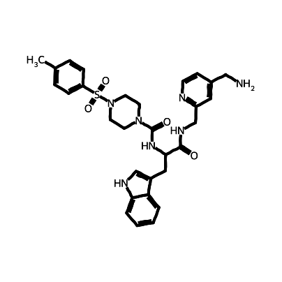 Cc1ccc(S(=O)(=O)N2CCN(C(=O)NC(Cc3c[nH]c4ccccc34)C(=O)NCc3cc(CN)ccn3)CC2)cc1